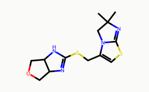 CC1(C)CN2C(CSC3=NC4COCC4N3)=CSC2=N1